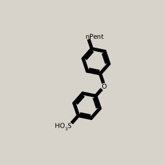 CCCCCc1ccc(Oc2ccc(S(=O)(=O)O)cc2)cc1